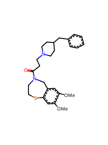 COc1cc2c(cc1OC)SCCN(C(=O)CCN1CCC(Cc3ccccc3)CC1)C2